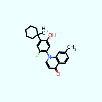 Cc1ccc2c(=O)ccn(-c3cc(O)c(C4(C)CCCCC4)cc3F)c2c1